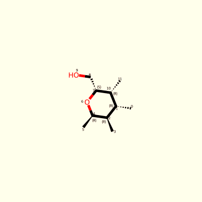 C[C@@H]1[C@@H](C)[C@@H](C)O[C@H](CO)[C@@H]1C